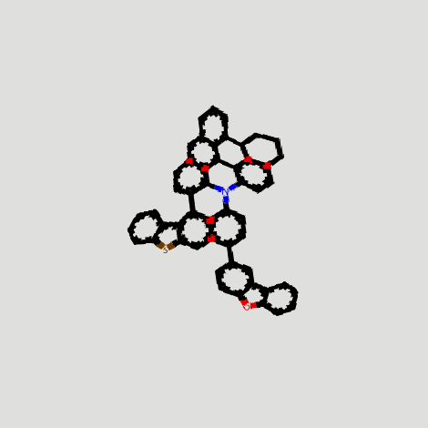 c1ccc(N(c2ccc(-c3ccc4oc5ccccc5c4c3)cc2)c2ccccc2-c2cccc3sc4ccccc4c23)c(-c2cccc3cccc(C4CCCCC4)c23)c1